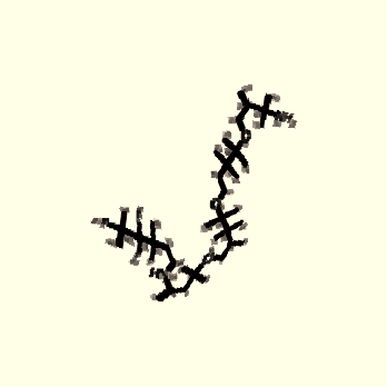 CC(CC(C)(C)OCC(C)C(C)(C)C(C)(C)OCCC(C)(C)C(C)(C)OCC(C)C(C)(C)N)NCCC(C)(C)C(F)(F)C(C)(C)F